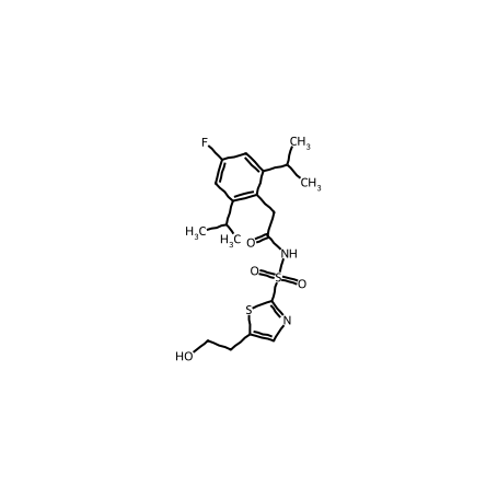 CC(C)c1cc(F)cc(C(C)C)c1CC(=O)NS(=O)(=O)c1ncc(CCO)s1